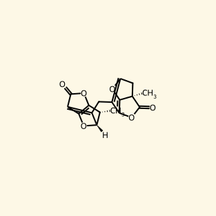 C[C@H]1C2=C3O[C@@H]1C(Cc1c4oc5c1OC(=O)[C@]5(C)C4)=C3C(=O)O2